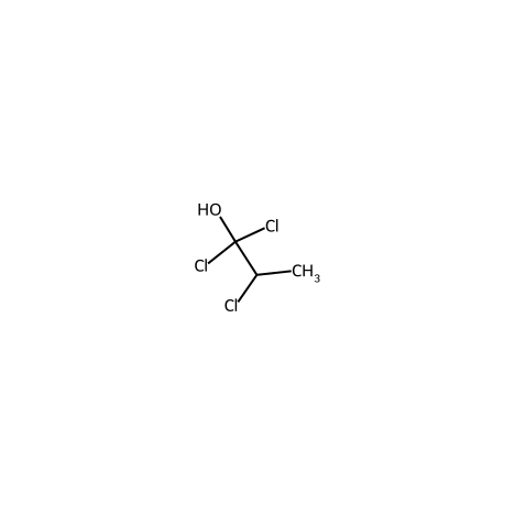 CC(Cl)C(O)(Cl)Cl